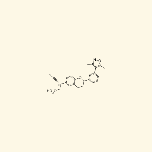 CC#C[C@@H](CC(=O)O)c1ccc2c(c1)CCC(c1cccc(-c3c(C)noc3C)c1)O2